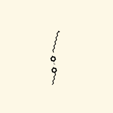 CCCCCCc1ccc(N=Nc2ccc(OCCCCCCCCCCC(=O)O)cc2)cc1